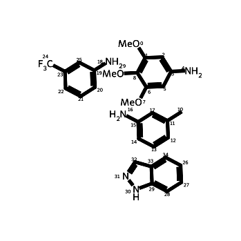 COc1cc(N)cc(OC)c1OC.Cc1cccc(N)c1.Nc1cccc(C(F)(F)F)c1.c1ccc2[nH]ncc2c1